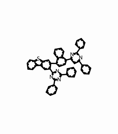 c1ccc(-c2cc(-c3ccc(-c4cc5sc6ccccc6c5cc4-c4nc(-c5ccccc5)nc(-c5ccccc5)n4)c4ccccc34)nc(-c3ccccc3)n2)cc1